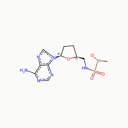 C[S+]([O-])S(=O)(=O)NC[C@@H]1CC[C@H](n2cnc3c(N)ncnc32)O1